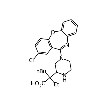 CCCCC(CC)(C(=O)O)C1CN(C2=Nc3ccccc3Oc3ccc(Cl)cc32)CCN1